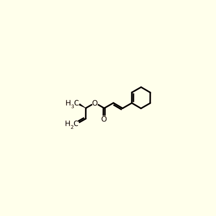 C=C[C@@H](C)OC(=O)/C=C/C1=CCCCC1